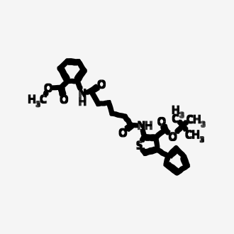 COC(=O)c1ccccc1NC(=O)CCCCC(=O)Nc1scc(-c2ccccc2)c1C(=O)OC(C)(C)C